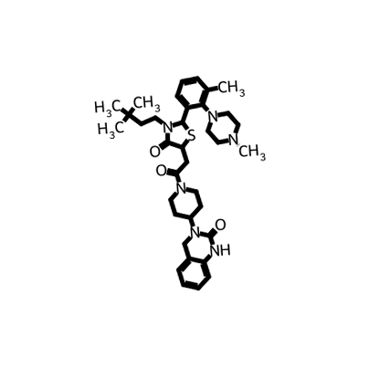 Cc1cccc(C2SC(CC(=O)N3CCC(N4Cc5ccccc5NC4=O)CC3)C(=O)N2CCC(C)(C)C)c1N1CCN(C)CC1